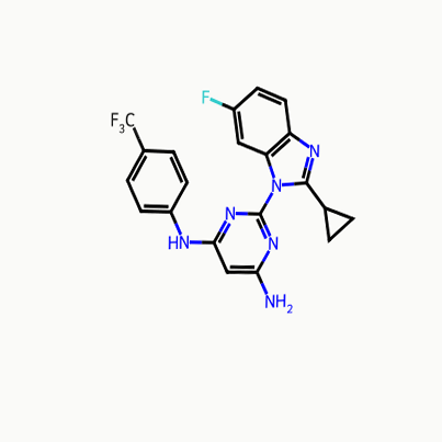 Nc1cc(Nc2ccc(C(F)(F)F)cc2)nc(-n2c(C3CC3)nc3ccc(F)cc32)n1